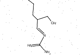 CCCC(C=NC(=N)N)CO